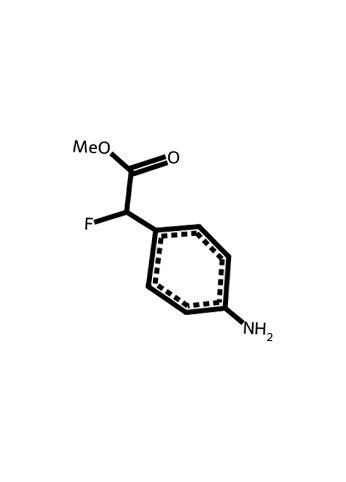 COC(=O)C(F)c1ccc(N)cc1